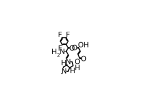 CN1C[C@@H]2CCN(C=C[C@@H](N)C(=O)c3cc(F)c(F)cc3F)[C@@H]2C1.O=C(O)/C=C/C(=O)O